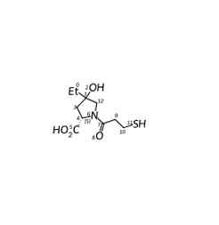 CCC1(O)C[C@@H](C(=O)O)N(C(=O)CCS)C1